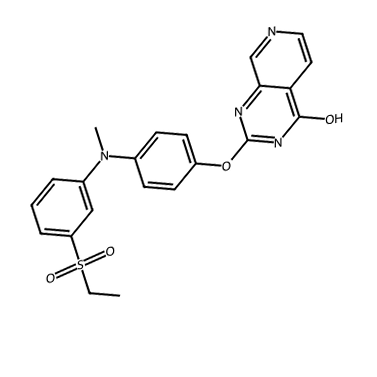 CCS(=O)(=O)c1cccc(N(C)c2ccc(Oc3nc(O)c4ccncc4n3)cc2)c1